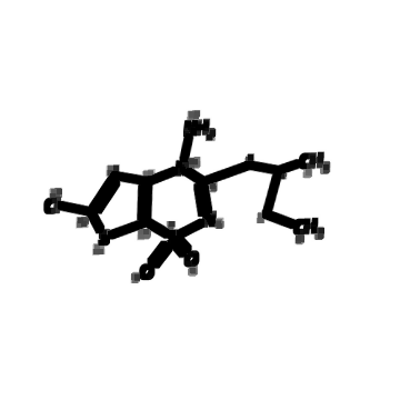 CCC(C)CC1=NS(=O)(=O)c2sc(Cl)cc2N1N